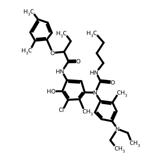 CCCCNC(=O)N(c1ccc(N(CC)CC)cc1C)c1cc(NC(=O)C(CC)Oc2ccc(C)cc2C)c(O)c(Cl)c1C